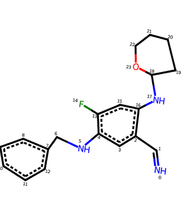 N=Cc1cc(NCc2ccccc2)c(F)cc1NC1CCCCO1